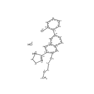 COCCOc1cc2ccc(-c3ccccc3Cl)cc2cc1C1=NCCN1.Cl